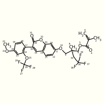 C=C(C)C(=O)OCC(C)(COc1ccc2cc(-c3ccc(OC)cc3OC(F)(F)F)c(=O)oc2c1)CC(F)(F)F